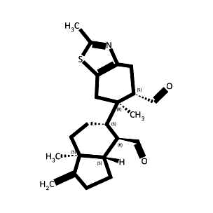 C=C1CC[C@H]2[C@H](C=O)[C@@H]([C@@]3(C)Cc4sc(C)nc4C[C@@H]3C=O)CC[C@]12C